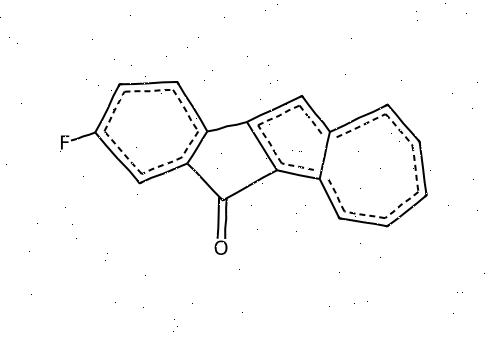 O=C1c2cc(F)ccc2-c2cc3cccccc-3c21